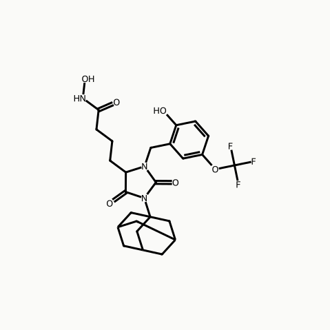 O=C(CCCC1C(=O)N(C23CC4CC(CC(C4)C2)C3)C(=O)N1Cc1cc(OC(F)(F)F)ccc1O)NO